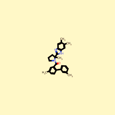 Cc1cccc(-c2ccc(C)cc2C(=O)N2CCCC2(C)c2nc3cc(C)c(C)cc3[nH]2)c1